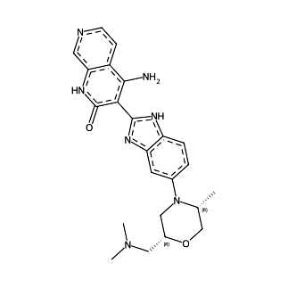 C[C@@H]1CO[C@H](CN(C)C)CN1c1ccc2[nH]c(-c3c(N)c4ccncc4[nH]c3=O)nc2c1